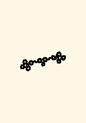 CCC1(CC)c2cc(/C=C/c3ccc(N4C5=C(C=CCC5)c5ccccc5-c5ccccc54)cc3)ccc2-c2ccc(/C=C/c3ccc(N4c5ccccc5-c5ccccc5-c5ccccc54)cc3)cc21